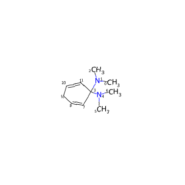 CN(C)C1(N(C)C)C=C[CH]C=C1